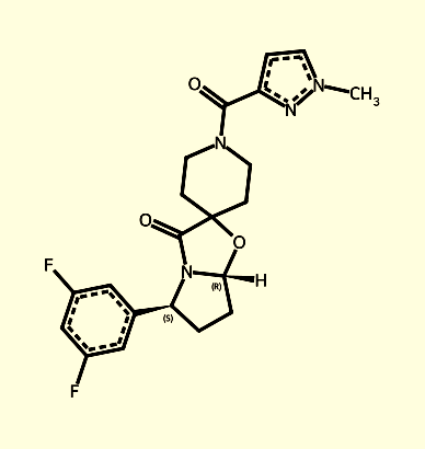 Cn1ccc(C(=O)N2CCC3(CC2)O[C@@H]2CC[C@@H](c4cc(F)cc(F)c4)N2C3=O)n1